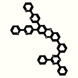 c1ccc(-c2nc(-c3ccccc3)nc(-c3cccc(-c4ccc5c(c4)Oc4cc(-c6ccc(-c7ccccn7)nc6)c(-c6ccc(-c7ccccn7)nc6)cc4O5)c3)n2)cc1